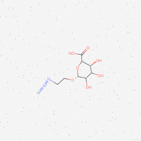 [N-]=[N+]=NCCO[C@@H]1OC(C(=O)O)[C@@H](O)C(O)C1O